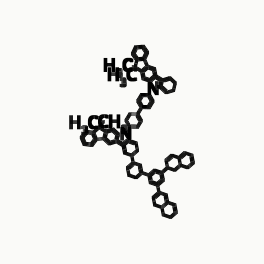 CC1(C)c2ccccc2-c2cc3c4c(n(C5=CC=C(c6ccc(-n7c8c(c9cc%10c(cc97)C(C)(C)c7ccccc7-%10)=CCCC=8)cc6)CC5)c3cc21)=CCC(C1=CCCC(c2cc(C3=CCC5CCC=CC5=C3)cc(C3C=CC5=CC=CCC5C3)c2)=C1)C=4